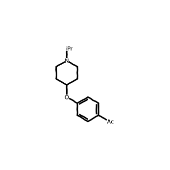 CC(=O)c1ccc(OC2CCN(C(C)C)CC2)cc1